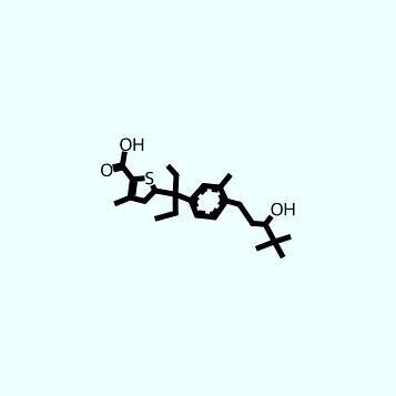 CCC(CC)(c1ccc(CCC(O)C(C)(C)C)c(C)c1)C1CC(C)=C(C(=O)O)S1